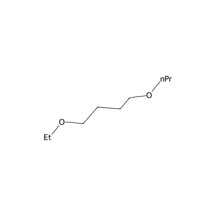 [CH2]CCOCCCCOCC